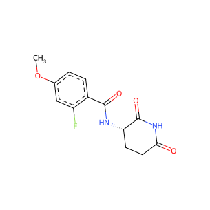 COc1ccc(C(=O)N[C@H]2CCC(=O)NC2=O)c(F)c1